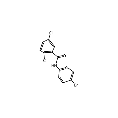 O=C(Nc1ccc(Br)cn1)c1cc(Cl)ccc1Cl